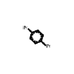 [CH2]C(C)c1ccc(C(C)C)cc1